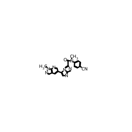 CN(C(=O)c1cn2c(-c3cnc4c(cnn4C)c3)cnc2cn1)c1ccc(C#N)cc1